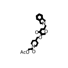 CC(=O)OCC(=O)N1CCC(COc2coc(CN3Cc4ccccc4C3)cc2=O)CC1